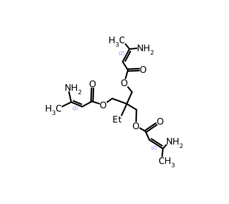 CCC(COC(=O)/C=C(/C)N)(COC(=O)/C=C(/C)N)COC(=O)/C=C(/C)N